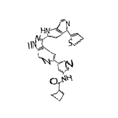 O=C(Nc1cncc(-c2cc3c(-c4cc5c(-c6cccs6)nccc5[nH]4)n[nH]c3cn2)c1)C1CCC1